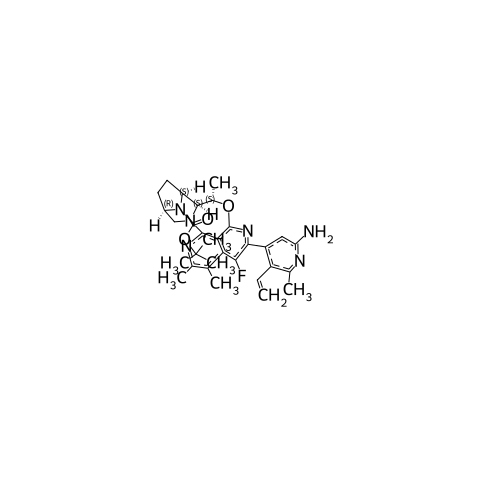 C=Cc1c(-c2nc3c4c(nc(C)c(C)c4c2F)N2C[C@H]4CC[C@@H]([C@H]2[C@H](C)O3)N4C(=O)OC(C)(C)C)cc(N)nc1C